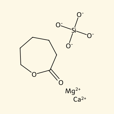 O=C1CCCCCO1.[Ca+2].[Mg+2].[O-][Si]([O-])([O-])[O-]